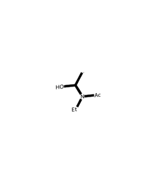 [CH2]C(O)N(CC)C(C)=O